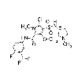 COc1c(S(=O)(=O)N[C@@H]2CCN(C)C2)c(Cl)n(C)c1C(=O)Nc1ccc(F)c(C(F)F)c1